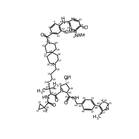 CNc1nc(Nc2ccc(C(=O)N3CCC4(CCN(CCCSC(C)(C)[C@H](NC(=O)C5(F)CC5)C(=O)N5C[C@H](O)CC5C(=O)NCc5ccc(-c6scnc6C)cc5)CC4)CC3)cc2OC)ncc1Cl